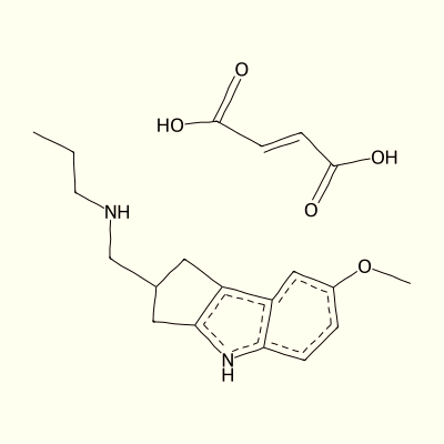 CCCNCC1Cc2[nH]c3ccc(OC)cc3c2C1.O=C(O)C=CC(=O)O